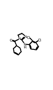 O=C(C1CC=CCC1)N1CCN=C1Nc1cccc(Cl)c1Cl